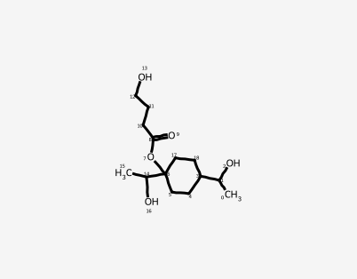 CC(O)C1CCC(OC(=O)CCCO)(C(C)O)CC1